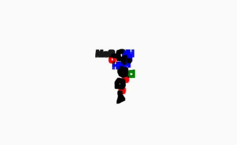 COC(=O)C1=Cc2c(ncnc2Nc2ccc(Oc3cccc(OCC4CC4)c3)c(Cl)c2)NCC1